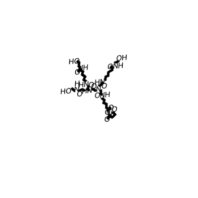 O=C(CCCCCNC(=O)CN(CC(=O)NCCCCCC(=O)ON1C(=O)CCC1=O)CC(=O)N[C@@H](CCC(=O)NCCO)C(=O)NCCCCCC(=O)NCCO)NCCO